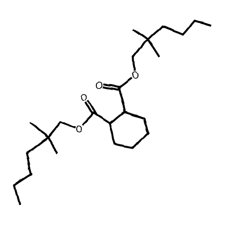 CCCCC(C)(C)COC(=O)C1CCCCC1C(=O)OCC(C)(C)CCCC